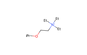 CC[N+](CC)(CC)CCOC(C)C